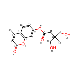 Cc1cc(=O)oc2cc(OC(=O)CC(C)(CO)CO)ccc12